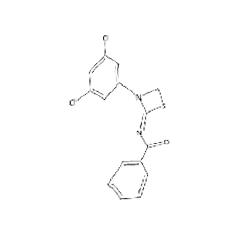 O=C(N=C1SCN1c1cc(Cl)cc(Cl)c1)c1ccccc1